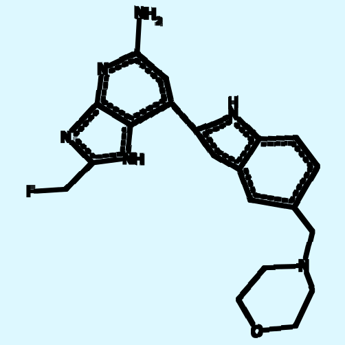 Nc1cc(-c2cc3cc(CN4CCOCC4)ccc3[nH]2)c2[nH]c(CF)nc2n1